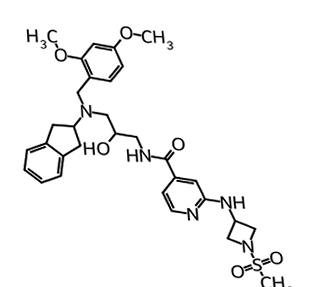 COc1ccc(CN(CC(O)CNC(=O)c2ccnc(NC3CN(S(C)(=O)=O)C3)c2)C2Cc3ccccc3C2)c(OC)c1